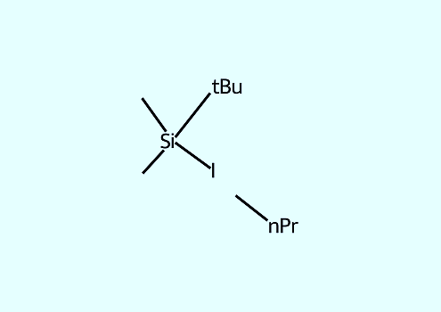 CC(C)(C)[Si](C)(C)I.CCCC